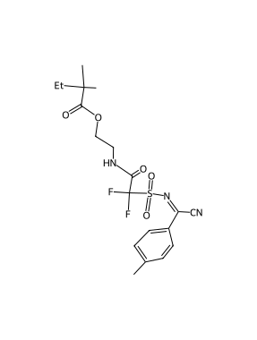 CCC(C)(C)C(=O)OCCNC(=O)C(F)(F)S(=O)(=O)/N=C(/C#N)c1ccc(C)cc1